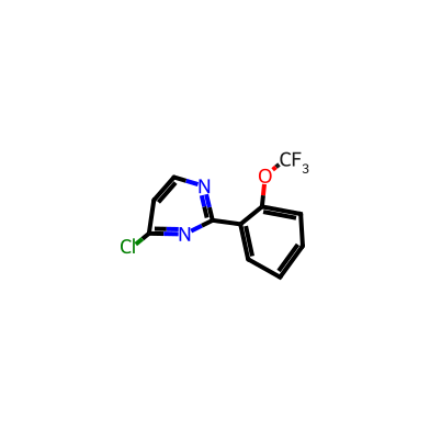 FC(F)(F)Oc1ccccc1-c1nccc(Cl)n1